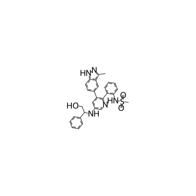 Cc1n[nH]c2ccc(-c3cc(NC(CO)c4ccccc4)cnc3-c3ccccc3NS(C)(=O)=O)cc12